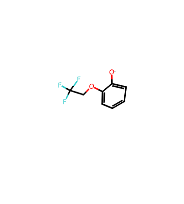 [O]c1ccccc1OCC(F)(F)F